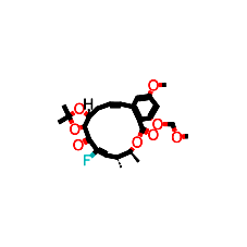 COCOc1cc(OC)cc2c1C(=O)O[C@@H](C)[C@H](C)/C=C(/F)C(=O)C1OC(C)(C)O[C@H]1C/C=C/2